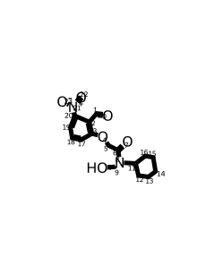 O=Cc1c(OCC(=O)N(CO)C2CCCCC2)cccc1[N+](=O)[O-]